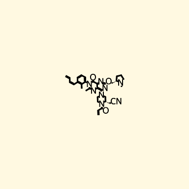 C=C/C=C\c1cccc(-n2c(C)nc3c(N4CCN(C(=O)C=C)[C@@H](CC#N)C4)nc(OC[C@@H]4CCCN4C)nc3c2=O)c1C